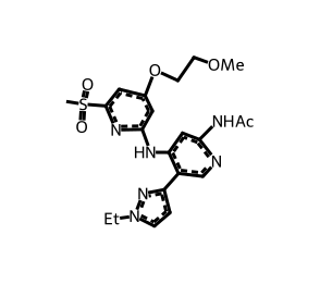 CCn1ccc(-c2cnc(NC(C)=O)cc2Nc2cc(OCCOC)cc(S(C)(=O)=O)n2)n1